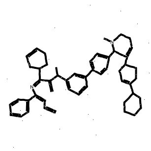 C=C/C=C(/N=C(\C(=C)C(C)c1cccc(-c2ccc(C3C(C4CC=C(C5CCCCC5)CC4)=CCCN3C)cc2)c1)C1CC=CCC1)c1ccccc1